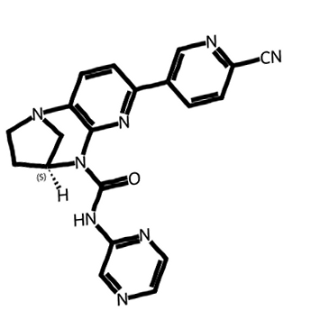 N#Cc1ccc(-c2ccc3c(n2)N(C(=O)Nc2cnccn2)[C@H]2CCN3C2)cn1